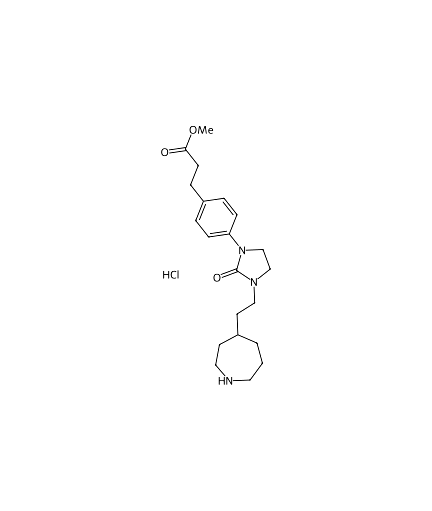 COC(=O)CCc1ccc(N2CCN(CCC3CCCNCC3)C2=O)cc1.Cl